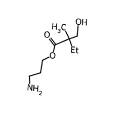 CCC(C)(CO)C(=O)OCCCN